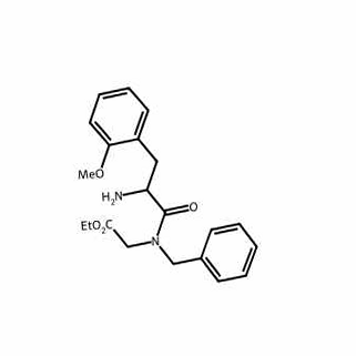 CCOC(=O)CN(Cc1ccccc1)C(=O)C(N)Cc1ccccc1OC